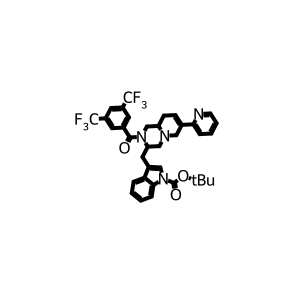 CC(C)(C)OC(=O)n1cc(CC2CN3CC(c4ccccn4)=CCC3CN2C(=O)c2cc(C(F)(F)F)cc(C(F)(F)F)c2)c2ccccc21